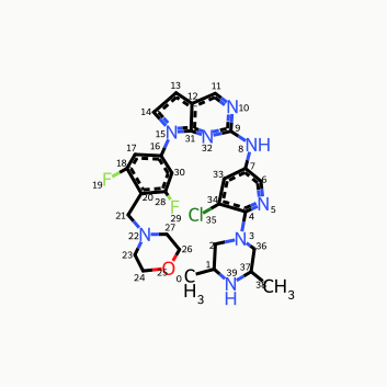 CC1CN(c2ncc(Nc3ncc4ccn(-c5cc(F)c(CN6CCOCC6)c(F)c5)c4n3)cc2Cl)CC(C)N1